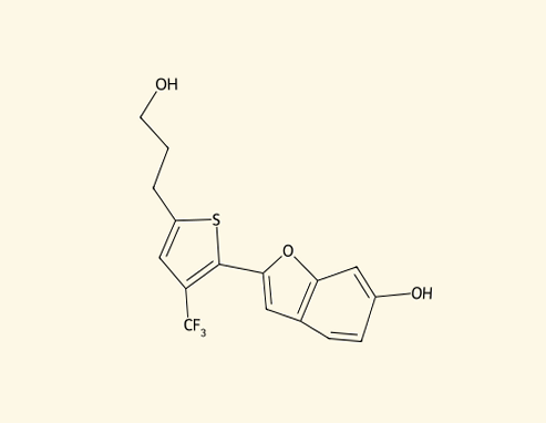 OCCCc1cc(C(F)(F)F)c(-c2cc3ccc(O)cc3o2)s1